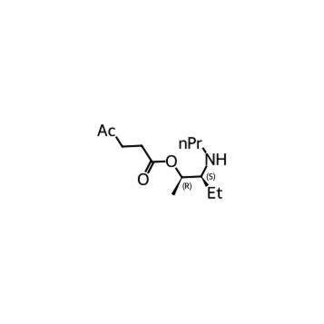 CCCN[C@@H](CC)[C@@H](C)OC(=O)CCC(C)=O